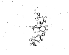 CCOC(=O)C(C)=NNc1ccc(Oc2ccc(S(C)(=O)=O)cn2)cc1OC(C)C